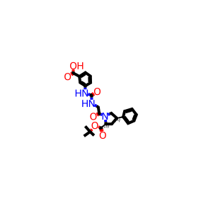 CC(C)(C)OC(=O)[C@@H]1C[C@H](c2ccccc2)CN1C(=O)CNC(=O)Nc1cccc(C(=O)O)c1